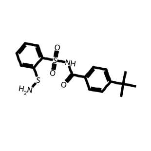 CC(C)(C)c1ccc(C(=O)NS(=O)(=O)c2ccccc2SN)cc1